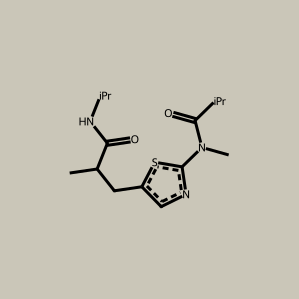 CC(C)NC(=O)C(C)Cc1cnc(N(C)C(=O)C(C)C)s1